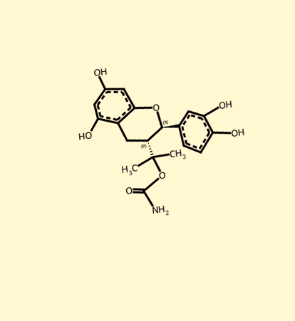 CC(C)(OC(N)=O)[C@@H]1Cc2c(O)cc(O)cc2O[C@H]1c1ccc(O)c(O)c1